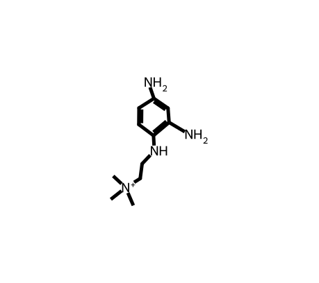 C[N+](C)(C)CCNc1ccc(N)cc1N